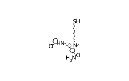 CCN(CCCC/C=C/CCCS)c1cc(C(N)=O)ccc1OCCNCc1cccc(Cl)c1